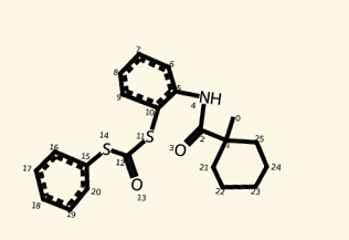 CC1(C(=O)Nc2ccccc2SC(=O)Sc2ccccc2)CCCCC1